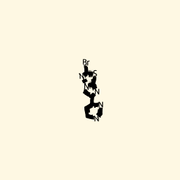 Brc1nn2cc(-c3ccncn3)nc2s1